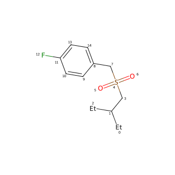 CCC(CC)CS(=O)(=O)Cc1ccc(F)cc1